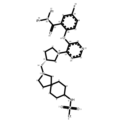 CCS(=O)(=O)NC1CCC2(CC1)CCN(C[C@@H]1CCN(c3ncncc3Oc3ccc(F)cc3C(=O)N(C(C)C)C(C)C)C1)C2